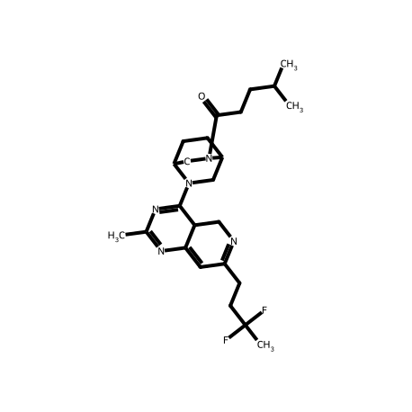 CC1=NC2=CC(CCC(C)(F)F)=NCC2C(N2CC3CCC2CN3C(=O)CCC(C)C)=N1